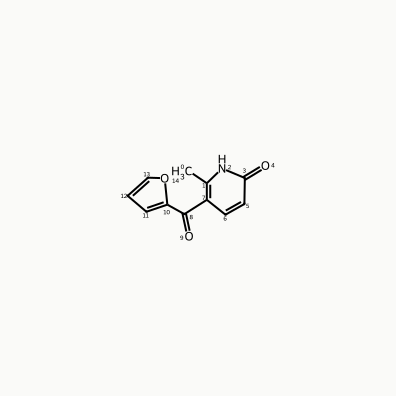 Cc1[nH]c(=O)ccc1C(=O)c1ccco1